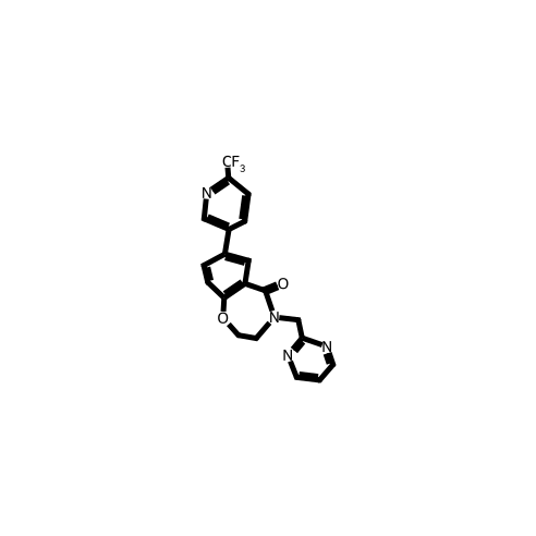 O=C1c2cc(-c3ccc(C(F)(F)F)nc3)ccc2OCCN1Cc1ncccn1